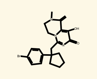 C=C1c2c(O)c(=O)nc(CC3(c4ccc(Br)cc4)CCCC3)n2CCN1C